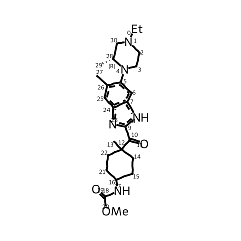 CCN1CCN(c2cc3[nH]c(C(=O)C4(C)CCC(NC(=O)OC)CC4)nc3cc2C)[C@H](C)C1